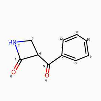 O=C1NCC1C(=O)c1ccccc1